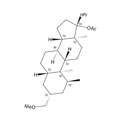 CCC[C@]1(OC(C)=O)CC[C@H]2[C@@H]3CC[C@H]4C[C@@H](COC)C[C@H](C)[C@]4(C)[C@H]3CC[C@@]21C